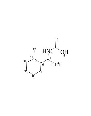 CCCC(NC(C)O)C1CCCCC1C